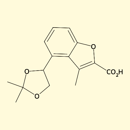 Cc1c(C(=O)O)oc2cccc(C3COC(C)(C)O3)c12